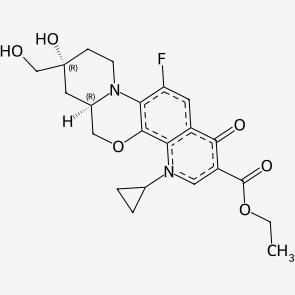 CCOC(=O)c1cn(C2CC2)c2c3c(c(F)cc2c1=O)N1CC[C@](O)(CO)C[C@@H]1CO3